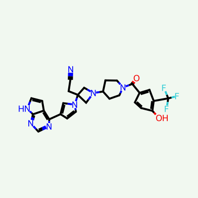 N#CCC1(n2ccc(-c3ncnc4[nH]ccc34)c2)CN(C2CCN(C(=O)c3ccc(O)c(C(F)(F)F)c3)CC2)C1